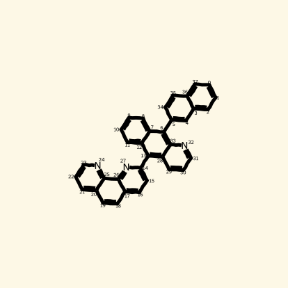 c1ccc2cc(-c3c4ccccc4c(-c4ccc5ccc6cccnc6c5n4)c4cccnc34)ccc2c1